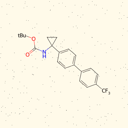 CC(C)(C)OC(=O)NC1(c2ccc(-c3ccc(C(F)(F)F)cc3)cc2)CC1